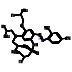 CCCCC(CC)COc1cc(/N=N/c2ccc(C#N)cc2C#N)c(NS(=O)(=O)CC(CC)CCCC)cc1N(CC(CC)CCCC)CC(CC)CCCC